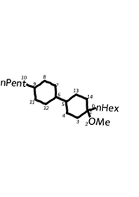 CCCCCCC1(OC)CCC(C2CCC(CCCCC)CC2)CC1